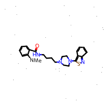 CNc1ccccc1C(=O)NCCCCN1CCN(c2snc3ccccc23)CC1